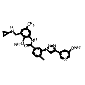 COc1cncc(-c2cn(-c3cc(C(=O)Nc4cc(C(F)(F)F)cc(CNC5CC5)c4OC)ccc3C)nn2)c1